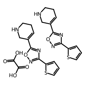 C1=C(c2nc(-c3cccs3)no2)CNCC1.C1=C(c2nc(-c3cccs3)no2)CNCC1.O=C(O)C(=O)O